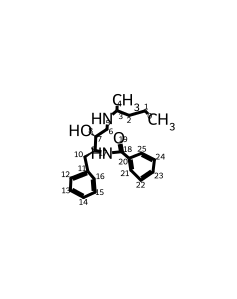 CCCC(C)NC[C@@H](O)[C@H](Cc1ccccc1)NC(=O)c1ccccc1